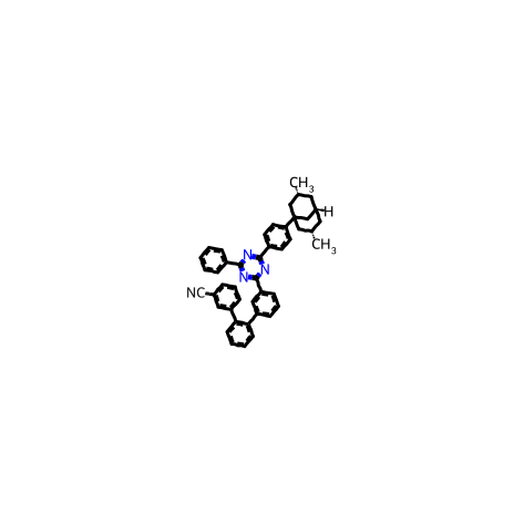 C[C@@H]1C[C@@H]2C[C@H](C)CC(c3ccc(-c4nc(-c5ccccc5)nc(-c5cccc(-c6ccccc6-c6cccc(C#N)c6)c5)n4)cc3)(C1)C2